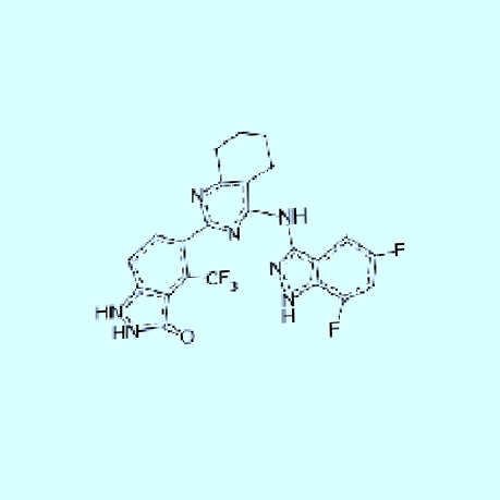 O=c1[nH][nH]c2ccc(-c3nc4c(c(Nc5n[nH]c6c(F)cc(F)cc56)n3)CCCC4)c(C(F)(F)F)c12